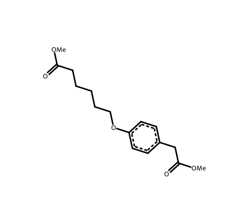 COC(=O)CCCCCOc1ccc(CC(=O)OC)cc1